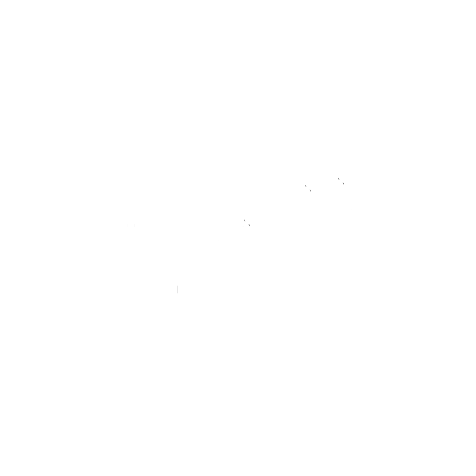 C=CC(CCO)NCc1cc[nH]n1